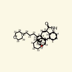 O=C1Nc2cccc(-c3ccncc3)c2/C1=C\c1[nH]c2c(c1CCCN1CCOCC1)CCCC2